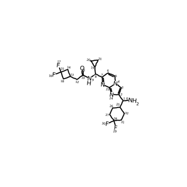 NC(c1cn2ccc([C@@H](NC(=O)CC3CC(F)(F)C3)C3CC3)nc2n1)C1CCC(F)(F)CC1